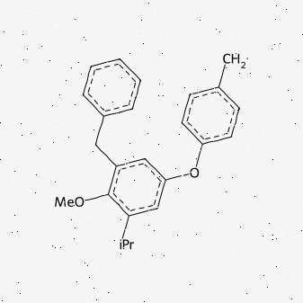 [CH2]c1ccc(Oc2cc(Cc3ccccc3)c(OC)c(C(C)C)c2)cc1